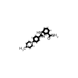 CN1CCN(c2ccc(-c3nc4c(C(N)=O)cccc4[nH]3)cc2)CC1